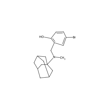 CN(Cc1cc(Br)ccc1O)C12CC3CC(CC(C3)C1)C2